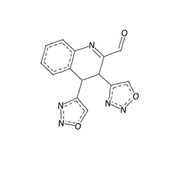 O=CC1=Nc2ccccc2C(c2conn2)C1c1conn1